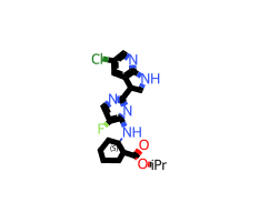 CC(C)OC(=O)C1CCCC[C@@H]1Nc1nc(C2CNc3ncc(Cl)cc32)ncc1F